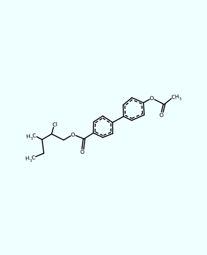 CCC(C)C(Cl)COC(=O)c1ccc(-c2ccc(OC(C)=O)cc2)cc1